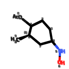 CC(=O)OC1CCC(NO)C[C@H]1C